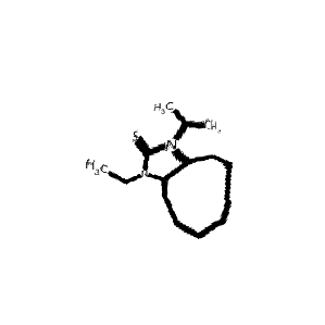 CCN1C(=S)N(C(C)C)C2CCCCCCCC21